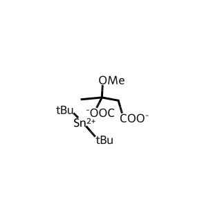 COC(C)(CC(=O)[O-])C(=O)[O-].C[C](C)(C)[Sn+2][C](C)(C)C